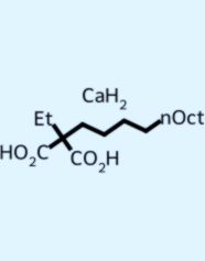 CCCCCCCCCCCCC(CC)(C(=O)O)C(=O)O.[CaH2]